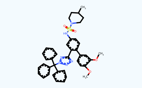 COc1ccc(-c2ccc(NS(=O)(=O)N3CCC(C)CC3)cc2-c2nnn(C(c3ccccc3)(c3ccccc3)c3ccccc3)n2)cc1OC